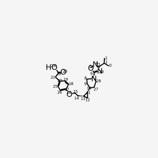 CC(C)c1noc(N2CCC([C@H]3C[C@H]3CCOc3ccc(CC(=O)O)cc3)CC2)n1